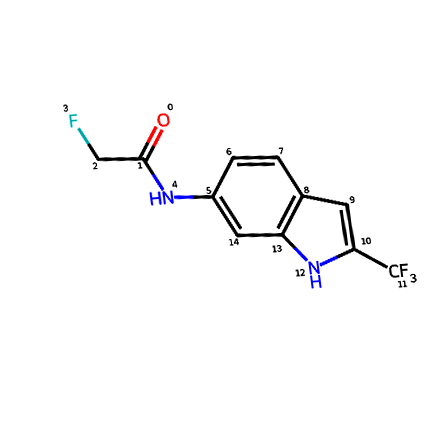 O=C(CF)Nc1ccc2cc(C(F)(F)F)[nH]c2c1